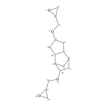 C1OC1COC1CC2C3CC(OCC4CO4)C(C3)C2C1